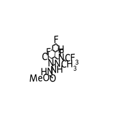 COC(=O)NNc1nc(Cl)c(-c2c(F)cc(F)cc2F)c(N[C@@H](C)C(F)(F)F)n1